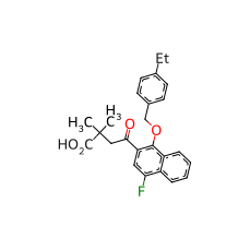 CCc1ccc(COc2c(C(=O)CC(C)(C)C(=O)O)cc(F)c3ccccc23)cc1